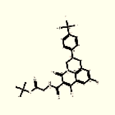 CC(C)(C)OC(=O)CNC(=O)c1c(O)c2cc(Br)cc3c2n(c1=O)CC(c1ccc(C(F)(F)F)cc1)C3